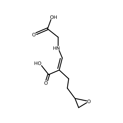 O=C(O)CNC=C(CCC1CO1)C(=O)O